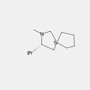 CC(C)[C@H]1C[Si]2(CCCC2)CN1C